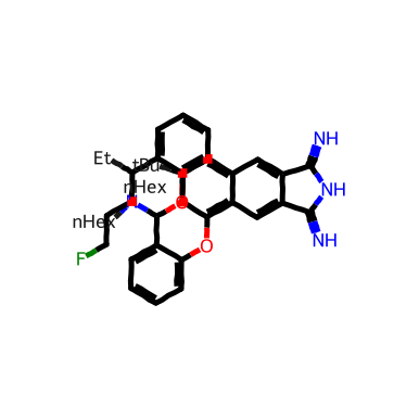 CCCCCCN(CCCCCC)C(Oc1ccccc1C(CC)CCCF)c1ccccc1OC1=c2cc3c(cc2=CC(C(C)(C)C)C1)C(=N)NC3=N